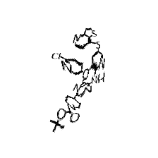 CC(C)(C)OC(=O)N1CCC(c2nsc(Nc3ncc(Sc4ccnc5ccsc45)cc3Oc3ccc(Cl)nc3)n2)CC1